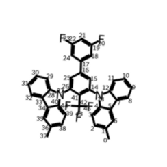 Cc1ccc2c(c1)c1ccccc1n2-c1cc(-c2cc(F)cc(F)c2)cc(-n2c3ccccc3c3cc(C)ccc32)c1C(F)(F)F